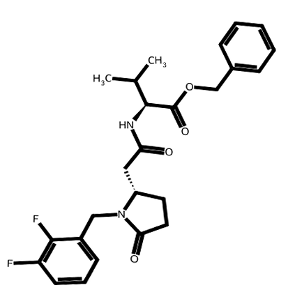 CC(C)[C@H](NC(=O)C[C@@H]1CCC(=O)N1Cc1cccc(F)c1F)C(=O)OCc1ccccc1